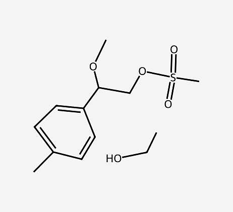 CCO.COC(COS(C)(=O)=O)c1ccc(C)cc1